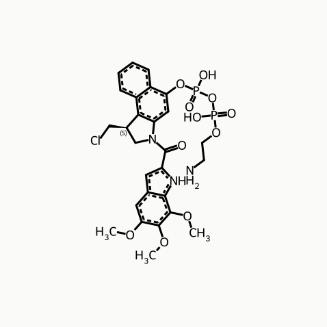 COc1cc2cc(C(=O)N3C[C@@H](CCl)c4c3cc(OP(=O)(O)OP(=O)(O)OCCN)c3ccccc43)[nH]c2c(OC)c1OC